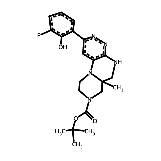 CC(C)(C)OC(=O)N1CCN2c3cc(-c4cccc(F)c4O)nnc3NCC2(C)C1